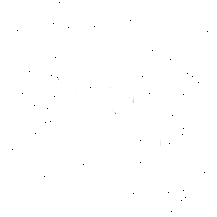 CCn1cc(C(=O)OC)nc1Sc1ccc([N+](=O)[O-])cc1